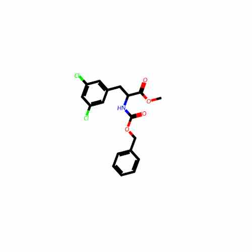 COC(=O)C(Cc1cc(Cl)cc(Cl)c1)NC(=O)OCc1ccccc1